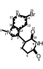 Cn1cc(C2CCC(=O)NC2=O)c2cc(Br)ncc21